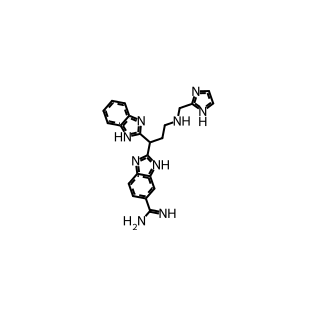 N=C(N)c1ccc2nc(C(CCNCc3ncc[nH]3)c3nc4ccccc4[nH]3)[nH]c2c1